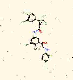 Cc1c(Cl)cc(NC(=O)C2C(c3ccc(F)c(Cl)c3)C2(Cl)Cl)cc1C(=O)CNc1ccc(F)cc1F